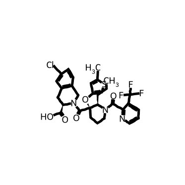 CCC[C@H]1N(C(=O)c2ncccc2C(F)(F)F)CCC[C@@]1(Oc1csc(C)c1)C(=O)N1Cc2ccc(Cl)cc2C[C@@H]1C(=O)O